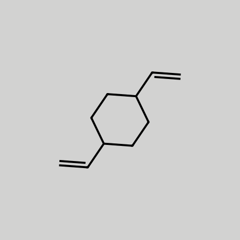 C=CC1CCC(C=C)CC1